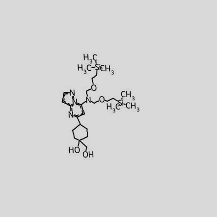 C[Si](C)(C)CCOCN(COCC[Si](C)(C)C)c1cc(C2CCC(O)(CO)CC2)nc2ccnn12